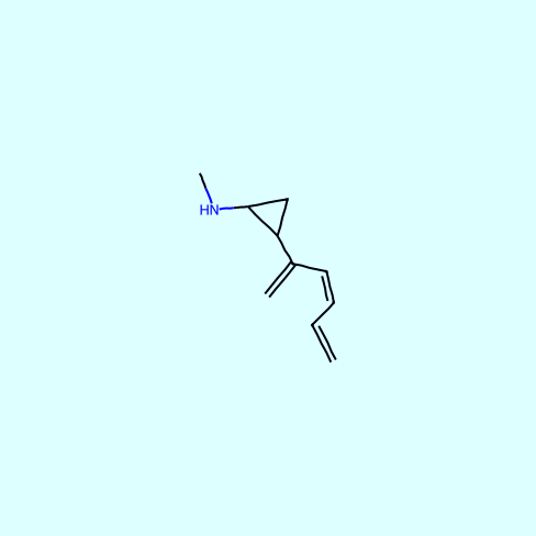 C=C/C=C\C(=C)C1CC1NC